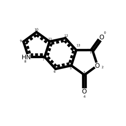 O=C1OC(=O)c2cc3[nH]ccc3cc21